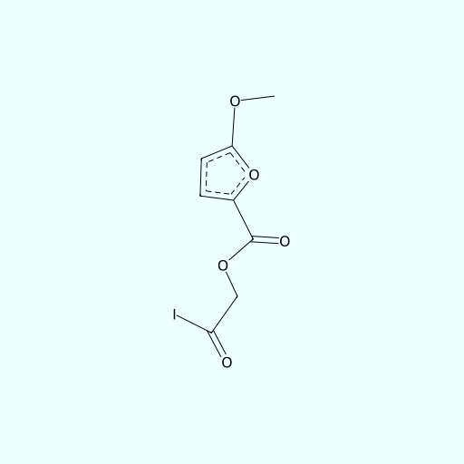 COc1ccc(C(=O)OCC(=O)I)o1